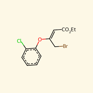 CCOC(=O)C=C(CBr)Oc1ccccc1Cl